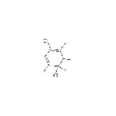 CC1=CC(Cl)=C(C)C(C)C1(C)Cl